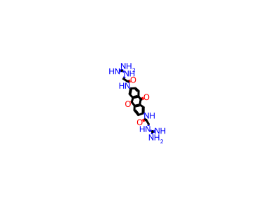 N=C(N)NCC(=O)Nc1ccc2c(c1)C(=O)c1ccc(NC(=O)CNC(=N)N)cc1C2=O